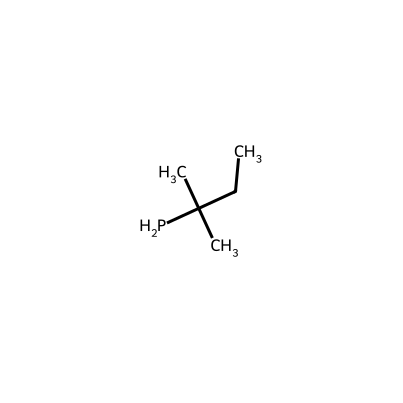 CCC(C)(C)P